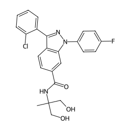 CC(CO)(CO)NC(=O)c1ccc2c(-c3ccccc3Cl)nn(-c3ccc(F)cc3)c2c1